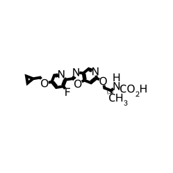 C[C@@H](COc1cc2oc(-c3ncc(OCC4CC4)cc3F)nc2cn1)NC(=O)O